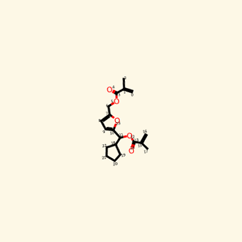 C=C(C)C(=O)OCc1ccc(C(OC(=O)C(=C)C)C2CCCC2)o1